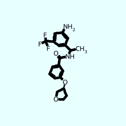 CC(NC(=O)c1cccc(O[C@H]2CCOC2)c1)c1cc(N)cc(C(F)(F)F)c1